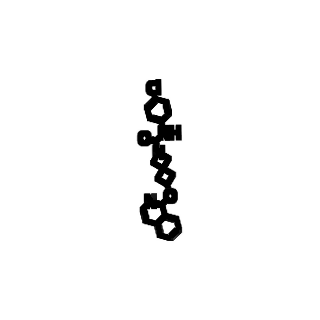 O=C(Nc1ccc(Cl)cc1)N1CC2(CC(Oc3nccc4ccccc34)C2)C1